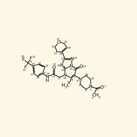 CC(=O)N1CCN(c2c(C)n(CC(=O)Nc3ccc(C(F)(F)F)cc3)c3nc(C4=CCOCC4)nn3c2=O)CC1